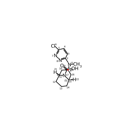 CN(c1ccc(Cl)nn1)C1C[C@H]2CCC[C@@H](C1)N2C(=O)O